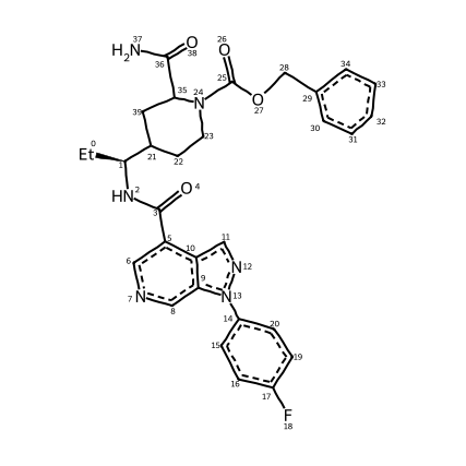 CC[C@H](NC(=O)c1cncc2c1cnn2-c1ccc(F)cc1)C1CCN(C(=O)OCc2ccccc2)C(C(N)=O)C1